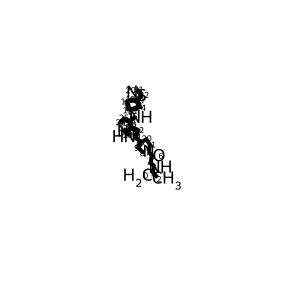 C=C(C)NCC(=O)N1CC=C(c2cc3c(Nc4ccc5ncsc5c4)ccnc3[nH]2)CC1